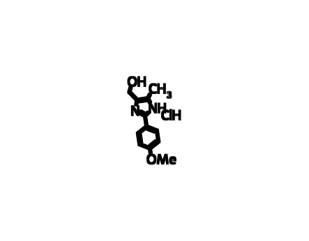 COc1ccc(-c2nc(CO)c(C)[nH]2)cc1.Cl